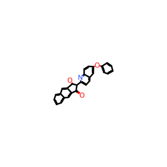 O=C1c2cc3ccccc3cc2C(=O)C1c1ccc2cc(Oc3ccccc3)ccc2n1